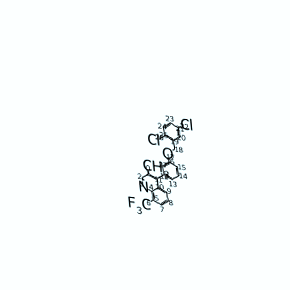 Cc1cnc2c(C(F)(F)F)cccc2c1-c1cccc(OCc2cc(Cl)ccc2Cl)c1